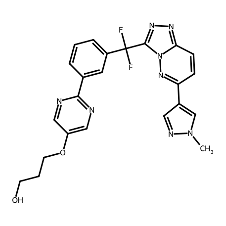 Cn1cc(-c2ccc3nnc(C(F)(F)c4cccc(-c5ncc(OCCCO)cn5)c4)n3n2)cn1